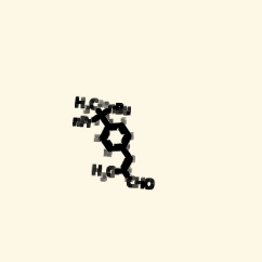 CCCCC(C)(CCC)c1ccc(C=C(C)C=O)cc1